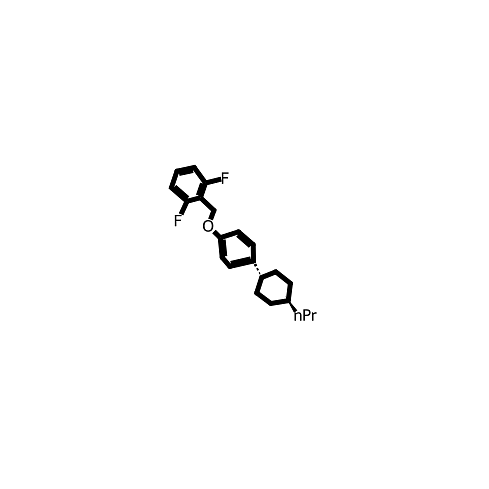 CCC[C@H]1CC[C@H](c2ccc(OCc3c(F)cccc3F)cc2)CC1